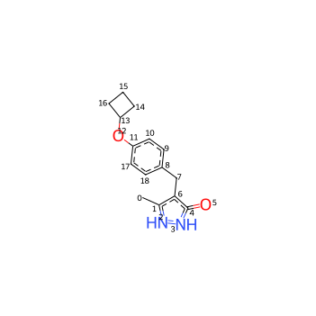 Cc1[nH][nH]c(=O)c1Cc1ccc(OC2CCC2)cc1